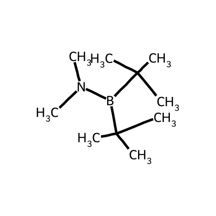 CN(C)B(C(C)(C)C)C(C)(C)C